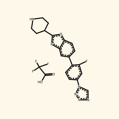 Fc1cc(-n2cnnn2)ccc1-c1ccc2oc(C3CCNCC3)nc2c1.O=C(O)C(F)(F)F